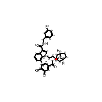 COc1cccc2c(C(=O)NCc3cccc(F)c3)cn(CCCN3[C@@H]4CC[C@H]3C[C@H](CC(=O)c3ccc(Cl)c(Cl)c3)C4)c12